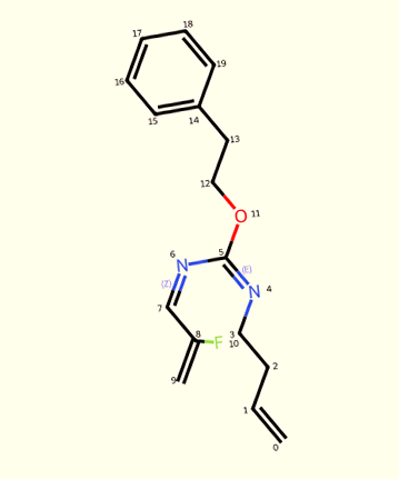 C=CCC/N=C(\N=C/C(=C)F)OCCc1ccccc1